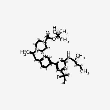 C=C(Cc1ccc(-c2cc(C(F)(F)F)nc(N[C@@H](C)CCC)n2)cn1)N1CCN(C(=O)OC(C)(C)C)CC1